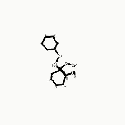 OOC1(OOC2CCCCC2)CCCCC1O